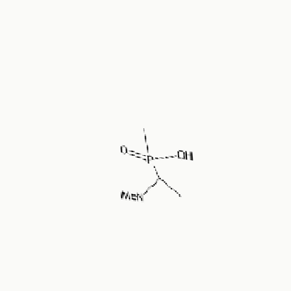 CNC(C)P(C)(=O)O